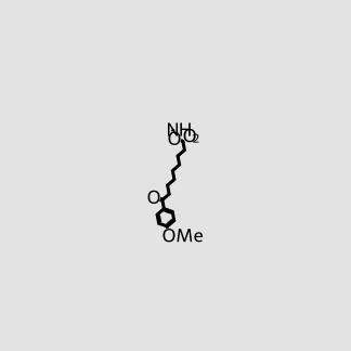 COc1ccc(C(=O)CCCCCCCC(=O)ON)cc1